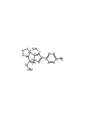 CC(C)(C)OC(=O)N1CCC[C@@]1(C)c1nc(-c2ccc(Br)cc2)c[nH]1